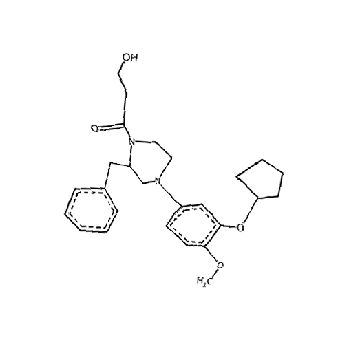 COc1ccc(N2CCN(C(=O)CCO)C(Cc3ccccc3)C2)cc1OC1CCCC1